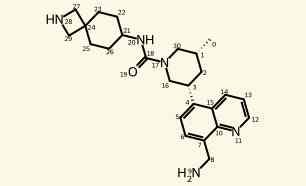 C[C@@H]1C[C@H](c2ccc(CN)c3ncccc23)CN(C(=O)NC2CCC3(CC2)CNC3)C1